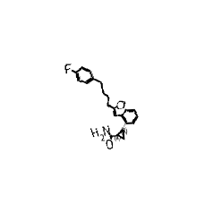 NC(=O)[C@@H]1C[C@H]1c1cccc2oc(CCCCc3ccc(F)cc3)cc12